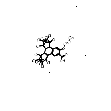 O=C(O)c1cc2c(cc1SOOO)C1C(C3C2C2(Cl)C(Cl)=C(Cl)C3(Cl)C2(Cl)Cl)C2(Cl)C(Cl)=C(Cl)C1(Cl)C2(Cl)Cl